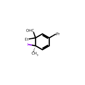 CCC1(C=O)C=C(C(C)C)C=C[C@@]1(C)I